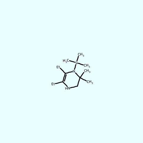 CCC1=C(CC)N([Si](C)(C)C)C(C)(C)CN1